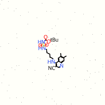 Cc1cc2ncc(C#N)c(NCCCCCNS(=O)(=O)NC(=O)OC(C)(C)C)c2cc1C